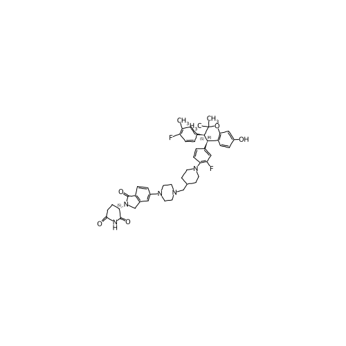 Cc1cc([C@@H]2[C@H](c3ccc(N4CCC(CN5CCN(c6ccc7c(c6)CN([C@H]6CCC(=O)NC6=O)C7=O)CC5)CC4)c(F)c3)c3ccc(O)cc3OC2(C)C)ccc1F